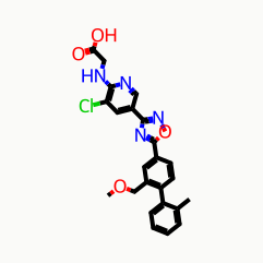 COCc1cc(-c2nc(-c3cnc(NCC(=O)O)c(Cl)c3)no2)ccc1-c1ccccc1C